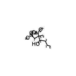 CCCC(O)C(C)(C[N+](=O)[O-])[N+](=O)[O-]